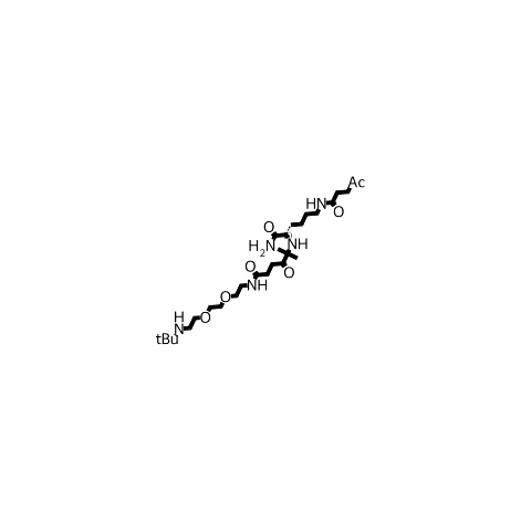 CC(=O)CCC(=O)NCCCC[C@H](NC(C)(C)C(=O)CCC(=O)NCCOCCOCCNC(C)(C)C)C(N)=O